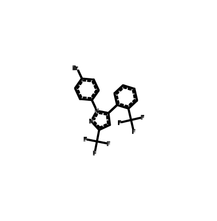 FC(F)(F)c1cc(-c2ccccc2C(F)(F)F)n(-c2ccc(Br)cc2)n1